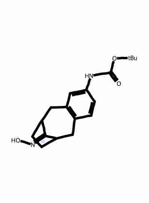 CC(C)(C)OC(=O)Nc1ccc2c(c1)CC1CCC(C2)/C1=N/O